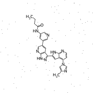 CCCC(=O)Nc1cncc(-c2cnc3[nH]nc(-c4cc5c(-n6cnc(C)c6)ccnc5[nH]4)c3c2)c1